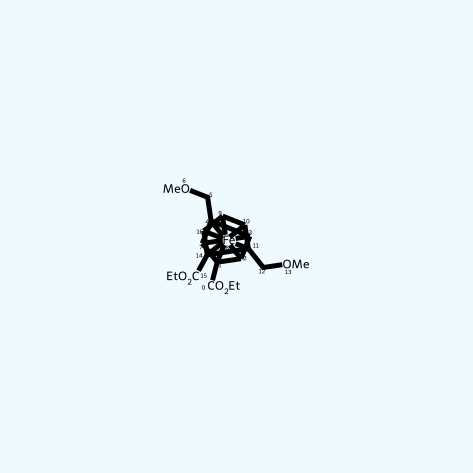 CCOC(=O)[C]12[CH]3[CH]4[C]5(COC)[CH]1[Fe]43521678[CH]2[CH]1[C]6(COC)[C]7(C(=O)OCC)[CH]28